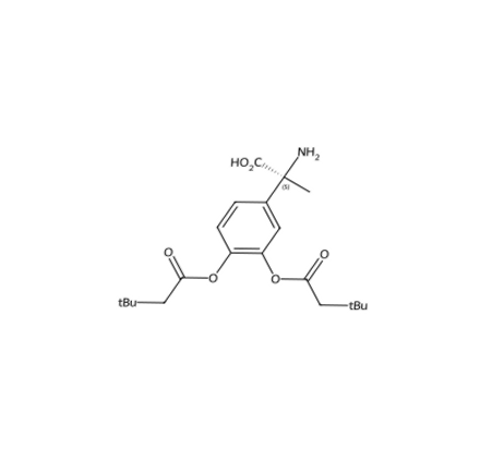 CC(C)(C)CC(=O)Oc1ccc([C@](C)(N)C(=O)O)cc1OC(=O)CC(C)(C)C